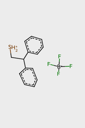 F[B-](F)(F)F.[SH2+]CC(c1ccccc1)c1ccccc1